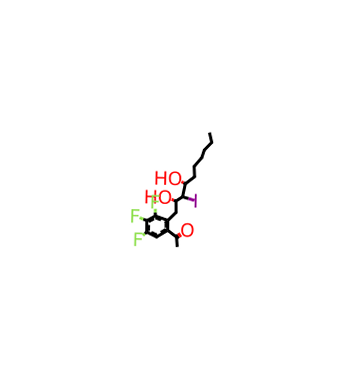 CCCCCCC(O)C(I)C(O)Cc1c(C(C)=O)cc(F)c(F)c1F